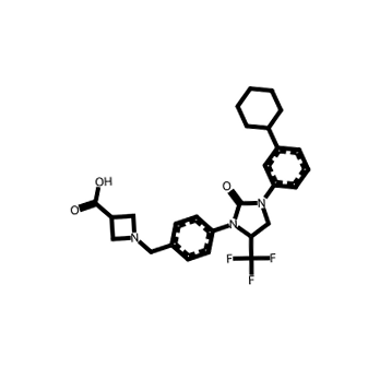 O=C(O)C1CN(Cc2ccc(N3C(=O)N(c4cccc(C5CCCCC5)c4)CC3C(F)(F)F)cc2)C1